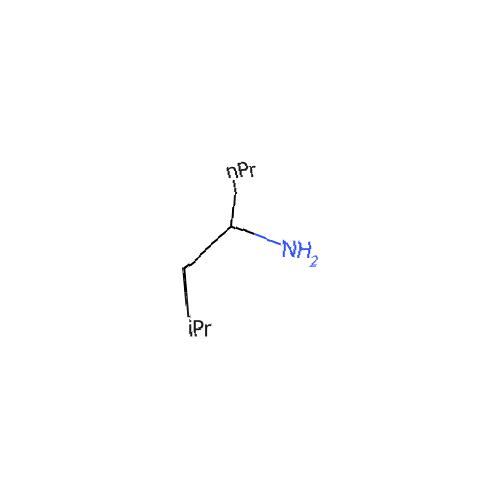 [CH2]CCC(N)CC(C)C